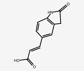 O=C(O)C=Cc1ccc2c(c1)CC(=O)N2